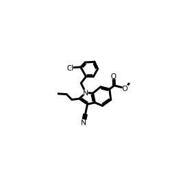 CCCc1c(C#N)c2ccc(C(=O)OC)cc2n1Cc1ccccc1Cl